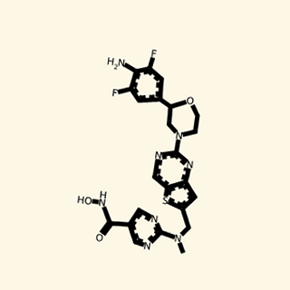 CN(Cc1cc2nc(N3CCOC(c4cc(F)c(N)c(F)c4)C3)ncc2s1)c1ncc(C(=O)NO)cn1